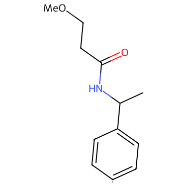 COCCC(=O)NC(C)c1cc[c]cc1